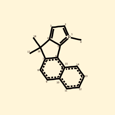 CP1=CC=C2C=1c1c(ccc3ccccc13)C2(C)C